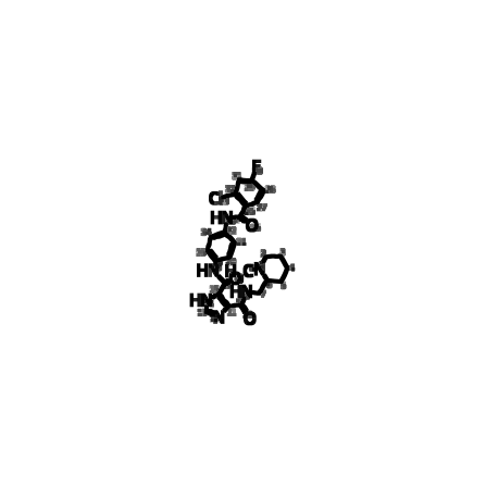 CN1CCCCC1CNC(=O)c1nc[nH]c1C(=O)Nc1ccc(NC(=O)c2ccc(F)cc2Cl)cc1